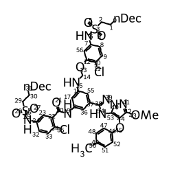 CCCCCCCCCCCCS(=O)(=O)Nc1ccc(Cl)c(OCNc2cc(NC(=O)c3cc(NS(=O)(=O)CCCCCCCCCCCC)ccc3Cl)cc(-c3nn4nc(OC)c(Oc5ccc(C)cc5)c4[nH]3)c2)c1